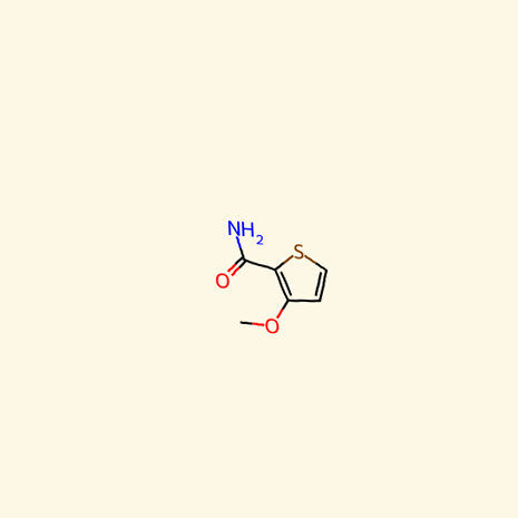 COc1ccsc1C(N)=O